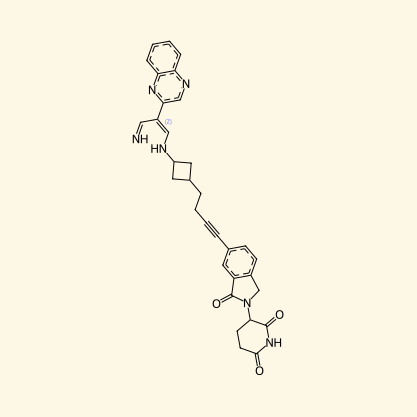 N=C/C(=C\NC1CC(CCC#Cc2ccc3c(c2)C(=O)N(C2CCC(=O)NC2=O)C3)C1)c1cnc2ccccc2n1